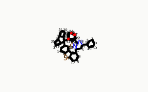 c1ccc(-c2cc(-c3cccc4sc5ccc6c(c5c34)Sc3ccccc3C63c4ccccc4-c4ccccc43)nc(-c3ccccc3)n2)cc1